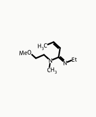 C/C=C\C(=N/CC)N(C)CCOC